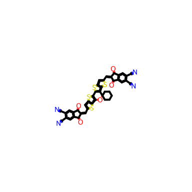 N#Cc1cc2c(cc1C#N)C(=O)C(=Cc1cc3sc4c(c3s1)OC1(CCCCC1)c1c-4sc3cc(C=C4C(=O)c5cc(C#N)c(C#N)cc5C4=O)sc13)C2=O